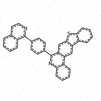 c1ccc2c(-c3ccc(-c4nc5ccccc5c5cc6c(cc45)sc4ccccc46)cc3)nccc2c1